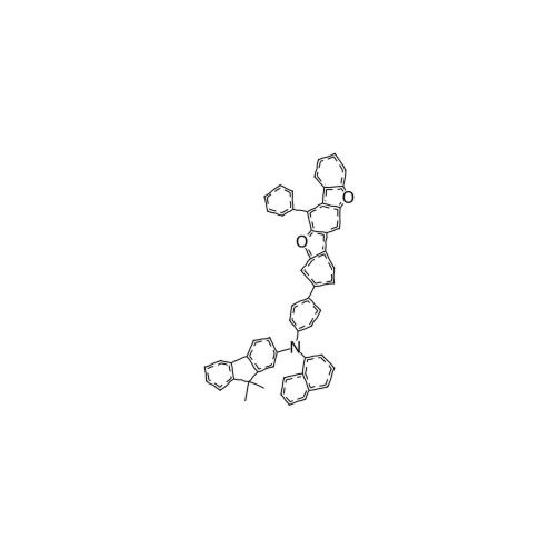 CC1(C)c2ccccc2-c2ccc(N(c3ccc(-c4ccc5c(c4)oc4c(-c6ccccc6)c6c(cc45)oc4ccccc46)cc3)c3cccc4ccccc34)cc21